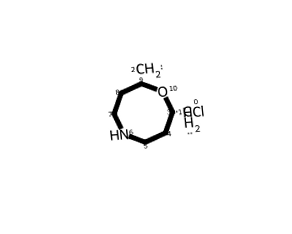 Cl.[CH2].[CH2].[CH]1CCNCCCO1